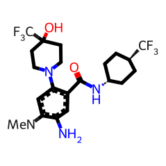 CNc1cc(N2CCC(O)(C(F)(F)F)CC2)c(C(=O)N[C@H]2CC[C@H](C(F)(F)F)CC2)cc1N